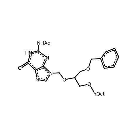 CCCCCCCCOCC(COCc1ccccc1)OCn1cnc2c(=O)[nH]c(NC(C)=O)nc21